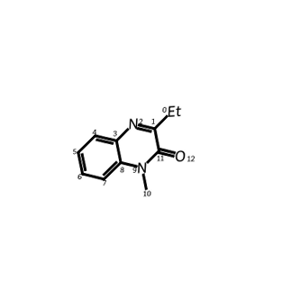 CCc1nc2ccccc2n(C)c1=O